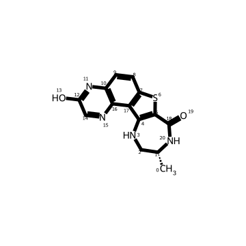 C[C@@H]1CNc2c(sc3ccc4nc(O)cnc4c23)C(=O)N1